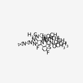 CN(c1nc(N2CC(N3CC4(CC4)C3)C2)nc2c(F)c(-c3ccc(F)c4sc(NC(=O)OC(C)(C)C)c(C#N)c34)ncc12)[C@@H]1CCN(C(=O)OC(C)(C)C)C1